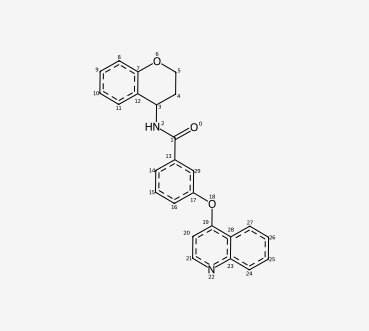 O=C(NC1CCOc2ccccc21)c1cccc(Oc2ccnc3ccccc23)c1